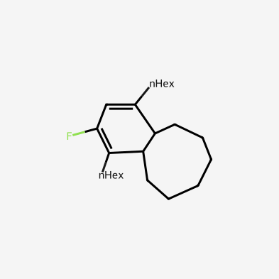 CCCCCCC1=CC(F)=C(CCCCCC)C2CCCCCCC12